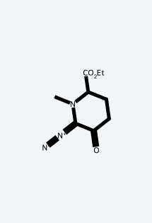 CCOC(=O)C1CCC(=O)C(=[N+]=[N-])N1C